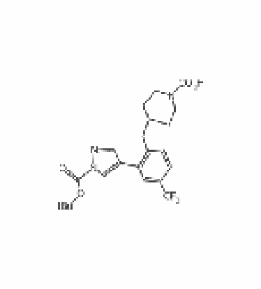 CC(C)(C)OC(=O)n1cc(-c2cc(C(F)(F)F)ccc2CC2CCN(C(=O)O)CC2)cn1